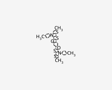 Cc1ccc(-n2c3cc(C)sc3c3sc4c5cc6oc7c(sc8c9sc(C)cc9n(-c9ccc(C)cc9)c78)c6cc5oc4c32)cc1